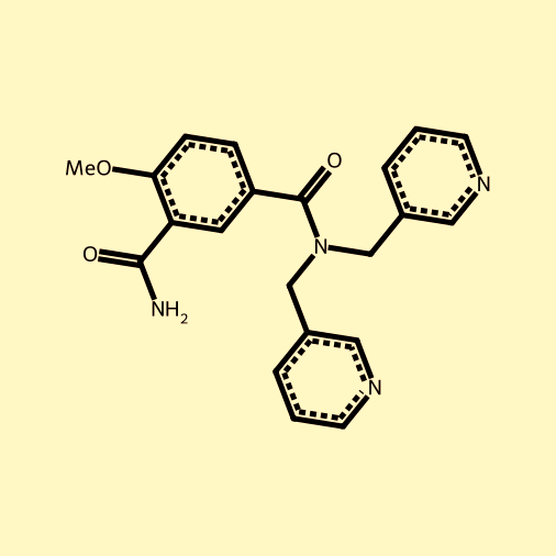 COc1ccc(C(=O)N(Cc2cccnc2)Cc2cccnc2)cc1C(N)=O